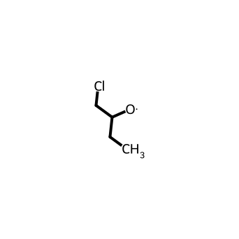 CCC([O])CCl